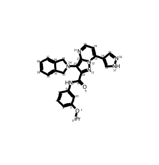 CC(C)Oc1cccc(NC(=O)c2nn3c(-c4cn[nH]c4)ccnc3c2N2Cc3ccccc3C2)c1